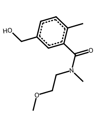 COCCN(C)C(=O)c1cc(CO)ccc1C